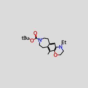 CCN1CCOc2c1cc1c(c2C)CCN(C(=O)OC(C)(C)C)CC1